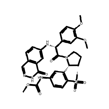 COC(=O)Nc1ccc(S(=O)(=O)I)c([C@H]2CCCN2C(=O)[C@H](Nc2ccc3cn[nH]c(=O)c3c2)c2ccc(OC)c(OC)c2)c1